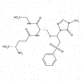 Cn1cnn(C(CS(=O)(=O)c2ccccc2)SC[C@H](NC(=O)CC[C@H](N)C(=O)O)C(=O)NCC(=O)O)c1=O